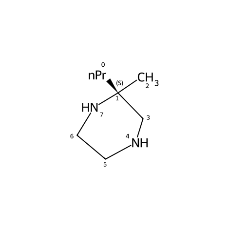 CCC[C@@]1(C)CNCCN1